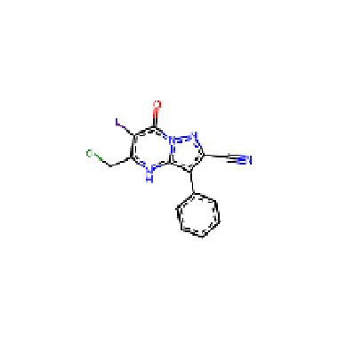 N#Cc1nn2c(=O)c(I)c(CCl)[nH]c2c1-c1ccccc1